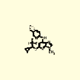 CSc1ccc(Nc2cc(OC(C3CC3)C(F)(F)F)nc3c2ncn3C)nc1